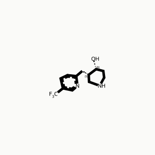 O[C@@H]1CCNC[C@@H]1Cc1ccc(C(F)(F)F)cn1